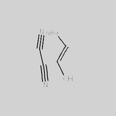 CC=CCCCC.N#CC#N